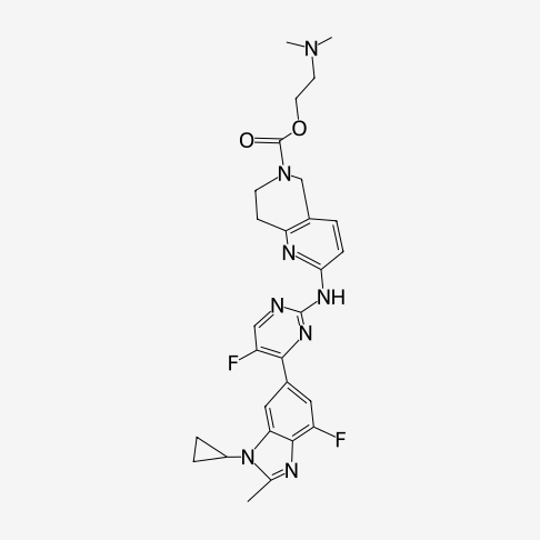 Cc1nc2c(F)cc(-c3nc(Nc4ccc5c(n4)CCN(C(=O)OCCN(C)C)C5)ncc3F)cc2n1C1CC1